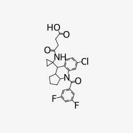 O=C(O)CCC(=O)NC1(C2c3ccc(Cl)cc3N(C(=O)c3cc(F)cc(F)c3)C3CCCC32)CC1